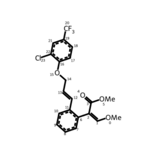 COC=C(C(=O)OC)c1ccccc1C=CCOc1ccc(C(F)(F)F)cc1Cl